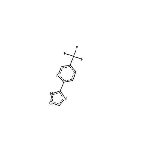 FC(F)(F)c1ccc(-c2ncon2)nc1